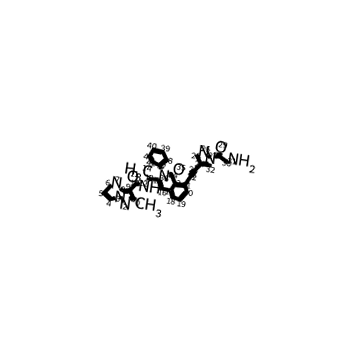 Cc1nn2cccnc2c1C(=O)N[C@H](C)c1cc2cccc(C#Cc3cnn(C(=O)CN)c3)c2c(=O)n1-c1ccccc1